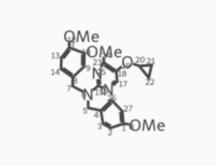 COc1ccc(CN(Cc2ccc(OC)cc2)c2ncc(OC3CC3)c(OC)n2)cc1